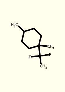 CC1CCC(C(C)(F)F)(C(F)(F)F)CC1